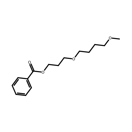 COCCCCOCCCOC(=O)c1ccccc1